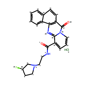 Cl.O=C(NCCN1CC[C@@H](F)C1)c1cccn2c(=O)c3ccc4ccccc4c3nc12